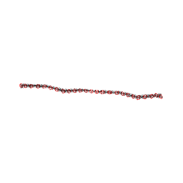 C(COCCCOCCCOCCCOCCCOCCCOCCCOCCCOCCCOCCCOCCCOCCOCC1CO1)COCCCOCCCOCCCOCCCOCCCOCCCOCCCOCCCOCCCOCCCOCC1CO1